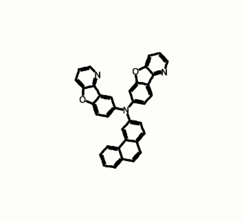 c1ccc2c(c1)ccc1ccc(N(c3ccc4c(c3)oc3cccnc34)c3ccc4oc5cccnc5c4c3)cc12